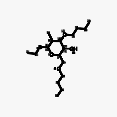 CCCCOCC1O[C@@H](SCC)C(C)C(OCCCC)[C@@H]1O